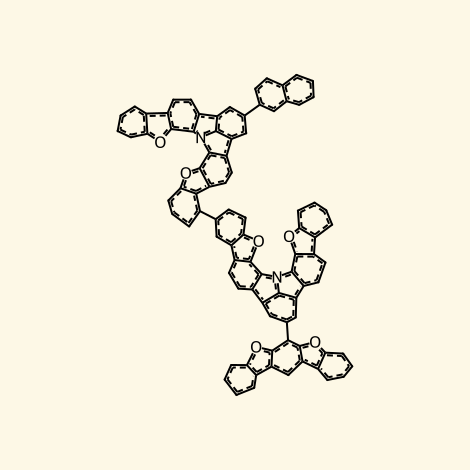 c1ccc2cc(-c3cc4c5ccc6c7ccccc7oc6c5n5c4c(c3)c3ccc4c(oc6cccc(-c7ccc8oc9c(ccc%10c%11cc(-c%12c%13oc%14ccccc%14c%13cc%13c%12oc%12ccccc%12%13)cc%12c%13ccc%14c%15ccccc%15oc%14c%13n(c%12%11)c%109)c8c7)c64)c35)ccc2c1